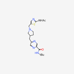 CC(=O)Nc1ncc(CN2CCC(Cc3cnc(C(=O)NC(C)(C)C)cn3)C2)s1